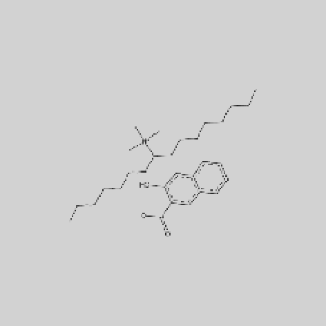 CCCCCCCCC(CCCCCCC)[N+](C)(C)C.O=C([O-])c1cc2ccccc2cc1O